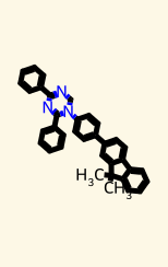 CC1(C)c2ccccc2-c2ccc(-c3ccc(N4CN=C(c5ccccc5)N=C4c4ccccc4)cc3)cc21